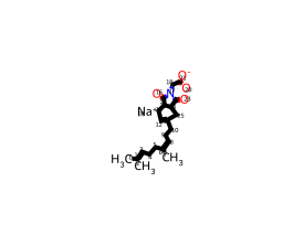 CC(C)=CCCC(C)=CCCC1=CCC2C(=O)N(CC(=O)[O-])C(=O)C2C1.[Na+]